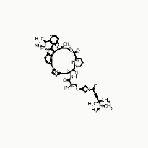 CCn1c(-c2cccnc2[C@H](C)OC)c2c3cc(ccc31)-c1csc(n1)C[C@H](NC(=O)[C@@H](COC1CN(C(=O)C#CC(C)(C)N(C)C)C1)C(C)C)C(=O)N1CCC[C@H](N1)C(=O)OCC(C)(C)C2